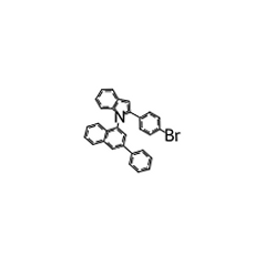 Brc1ccc(-c2cc3ccccc3n2-c2cc(-c3ccccc3)cc3ccccc23)cc1